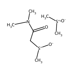 CN(C)C(=O)C[S+](C)[O-].C[S+](C)[O-]